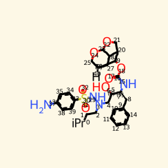 CC(C)CCN(C[C@@H](O)[C@H](Cc1ccccc1)NC(=O)OC1C2COC3OC[C@H]1CC32)NS(=O)(=O)c1ccc(N)cc1